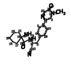 Cn1cc(-c2ccc(C[C@@H](C#N)NC(=O)C3(N)CCCCC3)cc2)ncc1=O